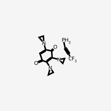 FC(F)(F)C#CP.O=C1C=C(N2CC2)C(=O)C(N2CC2)=C1N1CC1